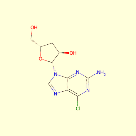 Nc1nc(Cl)c2ncn([C@@H]3O[C@H](CO)C[C@H]3O)c2n1